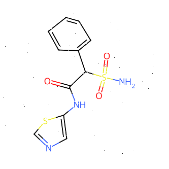 NS(=O)(=O)C(C(=O)Nc1cncs1)c1ccccc1